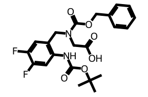 CC(C)(C)OC(=O)Nc1cc(F)c(F)cc1CN(CC(=O)O)C(=O)OCc1ccccc1